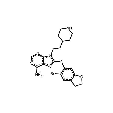 Nc1ncnc2c1nc(Sc1cc3c(cc1Br)CCO3)n2CCC1CCNCC1